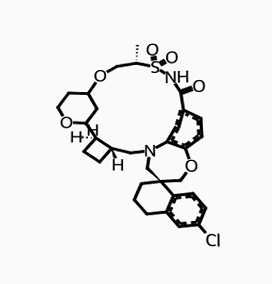 C[C@H]1COC2CCO[C@H](C2)[C@@H]2CC[C@H]2CN2C[C@@]3(CCCc4cc(Cl)ccc43)COc3ccc(cc32)C(=O)NS1(=O)=O